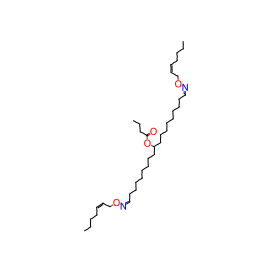 CCCC/C=C\CO/N=C\CCCCCCCCC(CCCCCCCC/C=N\OC/C=C\CCCC)OC(=O)CCC